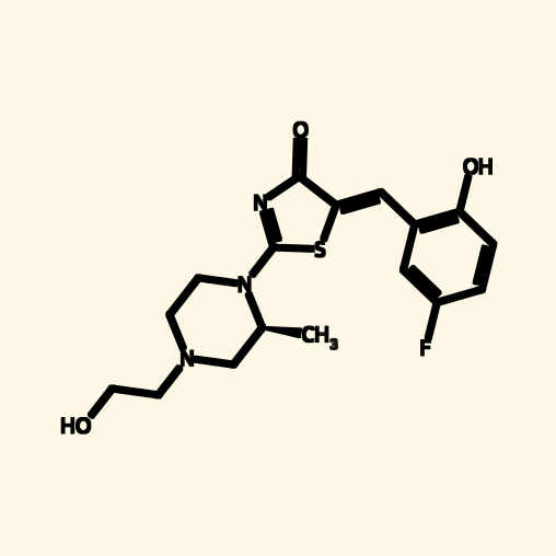 C[C@H]1CN(CCO)CCN1C1=NC(=O)C(=Cc2cc(F)ccc2O)S1